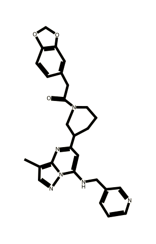 Cc1cnn2c(NCc3cccnc3)cc(C3CCCN(C(=O)Cc4ccc5c(c4)OCO5)C3)nc12